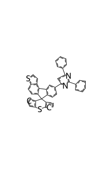 c1ccc(-c2cc(-c3ccc4c(c3)-c3c(ccc5sccc35)C43c4ccccc4Sc4ccccc43)nc(-c3ccccc3)n2)cc1